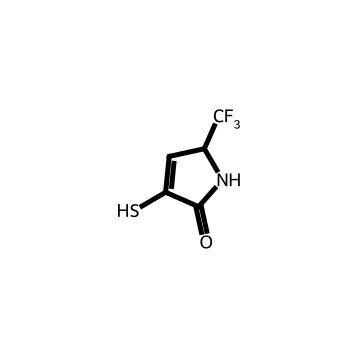 O=C1NC(C(F)(F)F)C=C1S